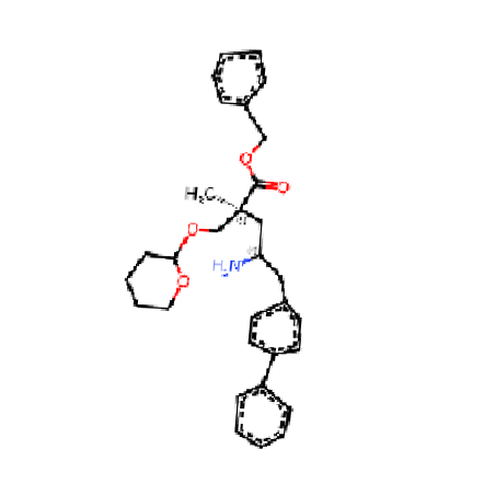 C[C@@](COC1CCCCO1)(C[C@H](N)Cc1ccc(-c2ccccc2)cc1)C(=O)OCc1ccccc1